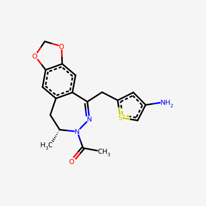 CC(=O)N1N=C(Cc2cc(N)cs2)c2cc3c(cc2C[C@H]1C)OCO3